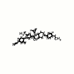 CCc1cnc(N2CC[C@@H](N(C(=O)c3cn(-c4ccc(C#N)cc4F)c(C)n3)C3CC3)C(F)C2)nc1